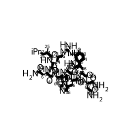 CC[C@@H](C)[C@@H](NC(=O)[C@@H](CC(N)=O)NC(=O)[C@@H](CCCNC(=N)N)NC(=O)[C@H](C)CC(C)C)C(=O)N[C@@H](C(=O)N[C@H](Cc1cnc[nH]1)C(=O)N[C@H](Cc1c[nH]c2ccccc12)C(=O)N[C@H](CC(N)=O)C(N)=O)[C@H](C)CC